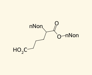 CCCCCCCCCOC(=O)C(CCCCCCCCC)CCCC(=O)O